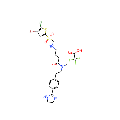 CN(CCc1ccc(C2=NCCN2)cc1)C(=O)CCCNCS(=O)(=O)c1cc(Br)c(Cl)s1.O=C(O)C(F)(F)F